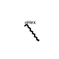 C=CCCCCCCCCCC(C)CCCCCC